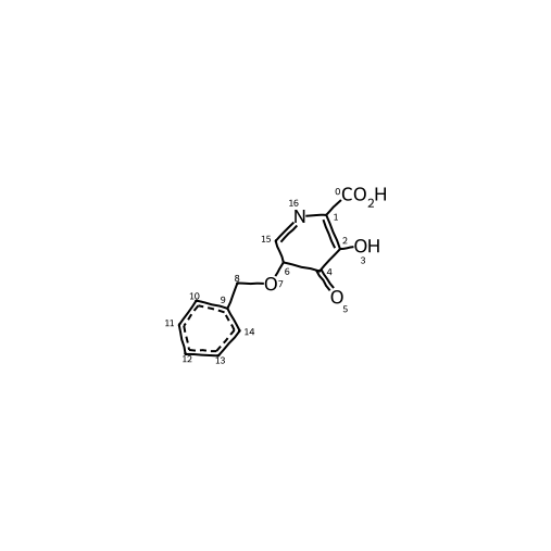 O=C(O)C1=C(O)C(=O)C(OCc2ccccc2)C=N1